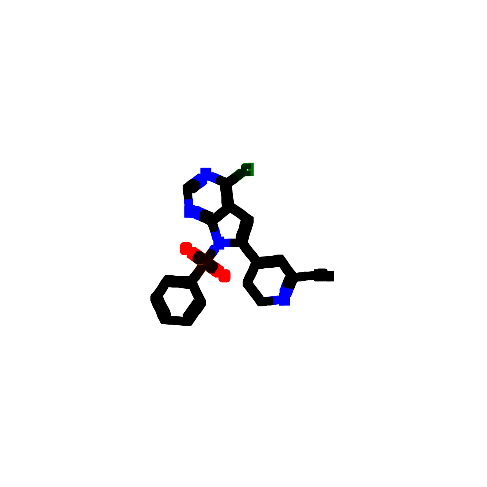 CC(C)(C)C1=NCCC(c2cc3c(Cl)ncnc3n2S(=O)(=O)c2ccccc2)=C1